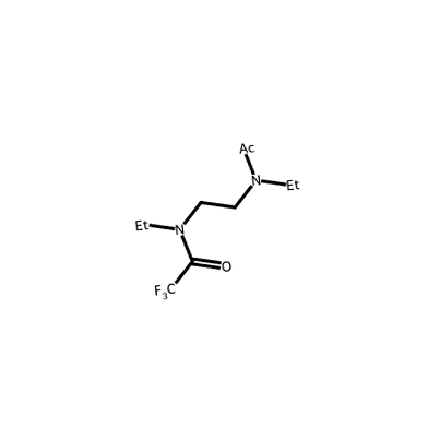 CCN(CCN(CC)C(=O)C(F)(F)F)C(C)=O